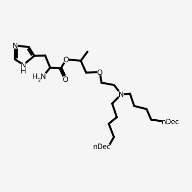 CCCCCCCCCCCCCCN(CCCCCCCCCCCCCC)CCOCC(C)OC(=O)C(N)Cc1cnc[nH]1